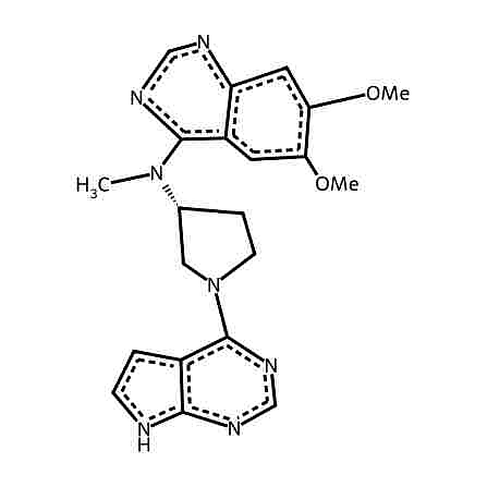 COc1cc2ncnc(N(C)[C@@H]3CCN(c4ncnc5[nH]ccc45)C3)c2cc1OC